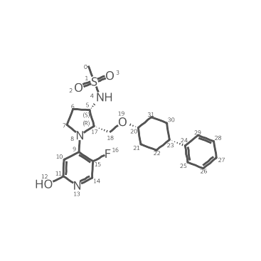 CS(=O)(=O)N[C@H]1CCN(c2cc(O)ncc2F)[C@H]1CO[C@H]1CC[C@@H](c2ccccc2)CC1